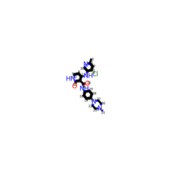 Cc1cc(Cl)c(Nc2cc[nH]c(=O)c2C(=O)Nc2ccc(N3CCN(C)CC3)cc2)cn1